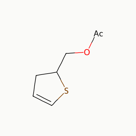 CC(=O)OCC1CC=CS1